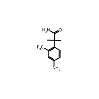 CC(C)(C(N)=O)c1ccc(N)cc1C(F)(F)F